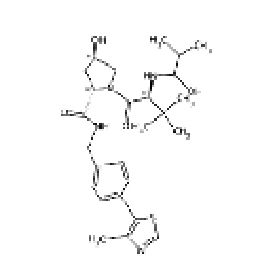 Cc1ncsc1-c1ccc(CNC(=O)[C@@H]2C[C@@H](O)CN2C(=O)[C@@H](NC(O)C(C)C)C(C)(C)C)cc1